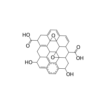 O=C(O)C1CC2=CC=C3C=CC4C(C(=O)O)C5CC(O)c6ccc7c8c6C56OC65C6C(=C1CC(C=86)C(O)C=7)C21OC31C45